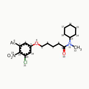 CC(=O)c1cc(OCCCCC(=O)N(C)C2CCCCC2)cc(Cl)c1[N+](=O)[O-]